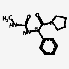 CNC(=O)N[C@@H](C(=O)N1CCCC1)c1ccccc1